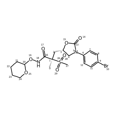 C[C@@](C[C@H]1CN(c2ccc(Br)cc2)C(=O)O1)(C(=O)NOC1CCCCO1)S(C)(=O)=O